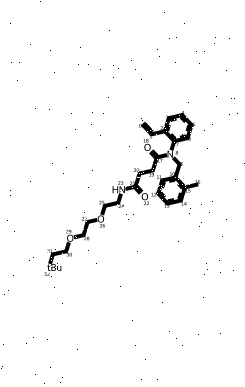 C=Cc1ccccc1N(Cc1ccccc1C)C(=O)CCC(=O)NCCOCCOCCC(C)(C)C